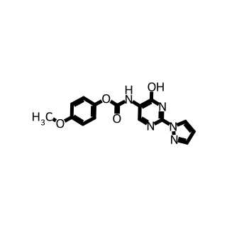 COc1ccc(OC(=O)Nc2cnc(-n3cccn3)nc2O)cc1